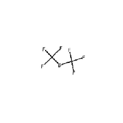 FC(F)(F)[B]C(F)(F)F